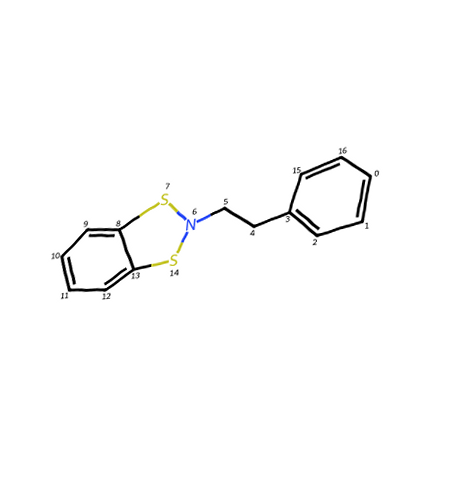 c1ccc(CCN2Sc3ccccc3S2)cc1